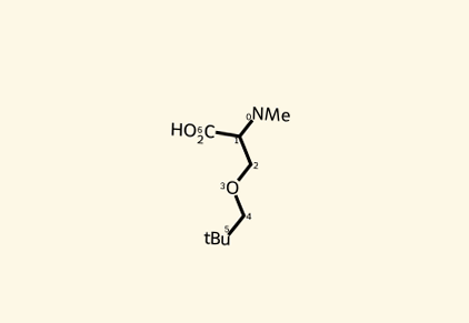 CNC(COCC(C)(C)C)C(=O)O